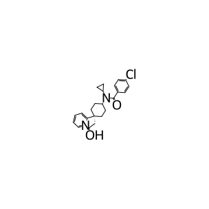 O=C(c1ccc(Cl)cc1)N(C1CC1)[C@H]1CC[C@](CCO)(c2ccccn2)CC1